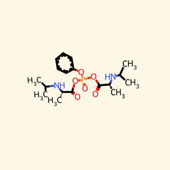 CC(C)N[C@@H](C)C(=O)OP(=O)(OC(=O)[C@H](C)NC(C)C)Oc1ccccc1